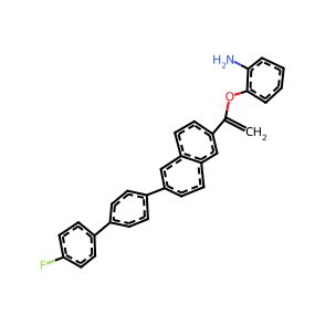 C=C(Oc1ccccc1N)c1ccc2cc(-c3ccc(-c4ccc(F)cc4)cc3)ccc2c1